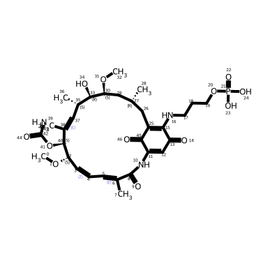 CO[C@H]1/C=C\C=C(/C)C(=O)NC2=CC(=O)C(NCCCOP(=O)(O)O)=C(C[C@@H](C)C[C@H](OC)[C@H](O)[C@@H](C)/C=C(\C)[C@@H]1OC(N)=O)C2=O